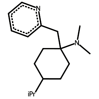 CC(C)C1CCC(Cc2ccccn2)(N(C)C)CC1